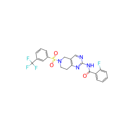 O=C(Nc1ncc2c(n1)CCN(S(=O)(=O)c1cccc(C(F)(F)F)c1)C2)c1ccccc1F